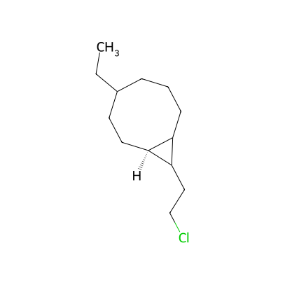 CCC1CCCC2C(CCCl)[C@H]2CC1